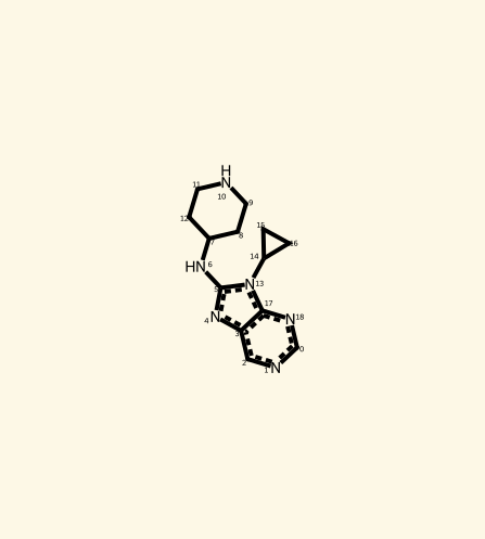 c1ncc2nc(NC3CCNCC3)n(C3CC3)c2n1